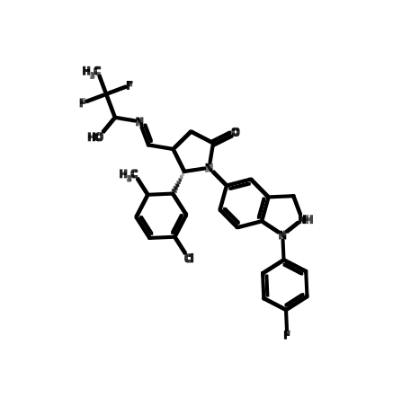 CC1C=CC(Cl)=CC1[C@@H]1C(/C=N/C(O)C(C)(F)F)CC(=O)N1c1ccc2c(c1)CNN2c1ccc(F)cc1